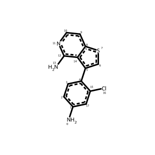 Nc1ccc(-c2csc3ccnc(N)c23)c(Cl)c1